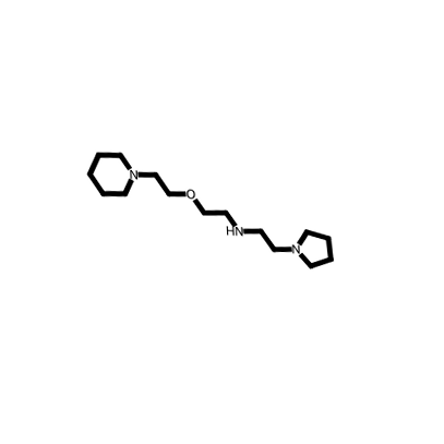 C1CCN(CCOCCNCCN2CCCC2)CC1